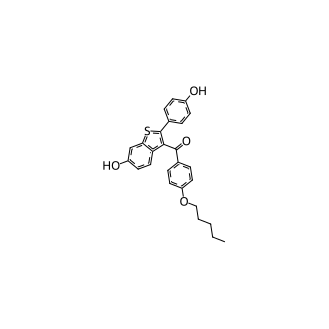 CCCCCOc1ccc(C(=O)c2c(-c3ccc(O)cc3)sc3cc(O)ccc23)cc1